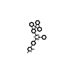 Cc1ccc(-c2ccc(-c3nc(-c4ccccc4)nc(-c4ccc5c(c4)C4(c6ccccc6-c6ccccc64)c4ccccc4-5)n3)cc2)c(C)n1